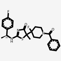 C[C@H](NC1=NC(=O)C(C)(C2(F)CCN(C(=O)c3ccccc3)CC2)S1)c1ccc(F)cc1